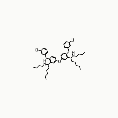 CCCCCC(NCCCC)c1cc(Oc2ccc(Cc3cccc(Cl)c3)c(C(CCCCC)NCCCC)c2)ccc1Cc1cccc(Cl)c1